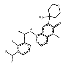 C[C@@H](Nc1ncnc2c1cc(C1(N)CCOCC1)c(=O)n2C)c1cccc(C(F)F)c1F